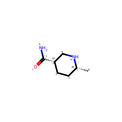 C[C@@H]1CC[C@H](C(N)=O)CN1